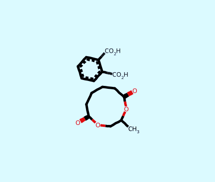 CC1COC(=O)CCCCC(=O)O1.O=C(O)c1ccccc1C(=O)O